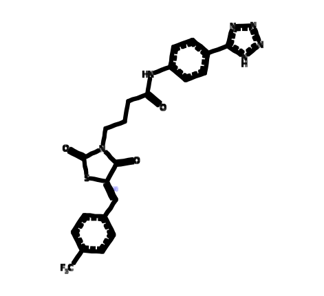 O=C(CCCN1C(=O)S/C(=C\c2ccc(C(F)(F)F)cc2)C1=O)Nc1ccc(-c2nnn[nH]2)cc1